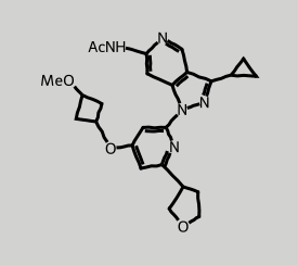 COC1CC(Oc2cc(C3CCOC3)nc(-n3nc(C4CC4)c4cnc(NC(C)=O)cc43)c2)C1